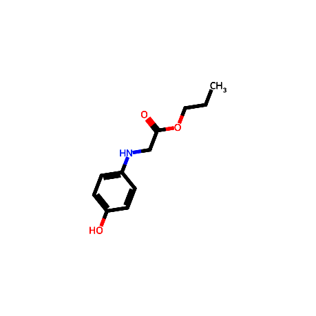 CCCOC(=O)CNc1ccc(O)cc1